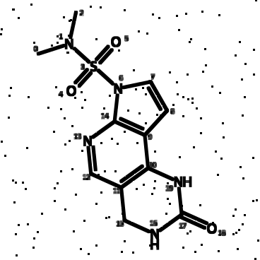 CN(C)S(=O)(=O)n1ccc2c3c(cnc21)CNC(=O)N3